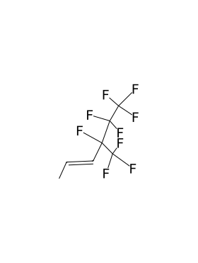 CC=CC(F)(C(F)(F)F)C(F)(F)C(F)(F)F